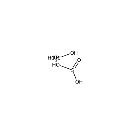 O=C(O)O.O=S(O)O.[KH]